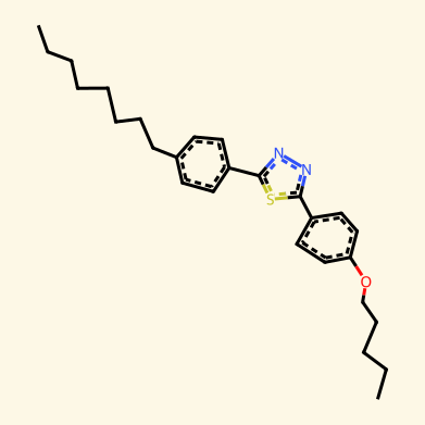 CCCCCCCCc1ccc(-c2nnc(-c3ccc(OCCCCC)cc3)s2)cc1